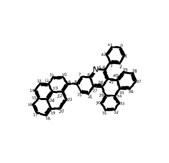 c1ccc(-c2nc3cc(-c4ccc5ccc6cccc7ccc4c5c67)ccc3c3c4ccccc4c4ccccc4c23)cc1